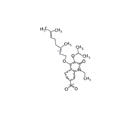 CCn1c(=O)c(OC(C)C)c(OC/C=C(\C)CCC=C(C)C)c2ccc([N+](=O)[O-])cc21